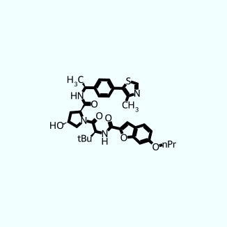 CCCOc1ccc2cc(C(=O)N[C@H](C(=O)N3C[C@H](O)C[C@H]3C(=O)N[C@@H](C)c3ccc(-c4scnc4C)cc3)C(C)(C)C)oc2c1